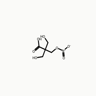 O=C(O)C(CO)(CO)CO[N+](=O)[O-]